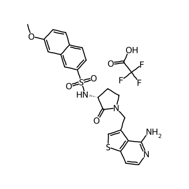 COc1ccc2ccc(S(=O)(=O)N[C@@H]3CCN(Cc4csc5ccnc(N)c45)C3=O)cc2c1.O=C(O)C(F)(F)F